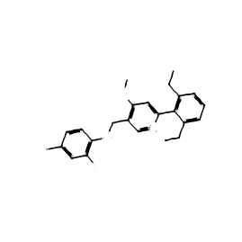 CCc1cccc(CC)c1-c1cc(OC)c(COc2ccc(Cl)cc2F)cn1